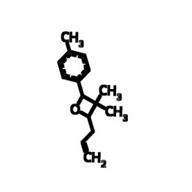 C=CCC1OC(c2ccc(C)cc2)C1(C)C